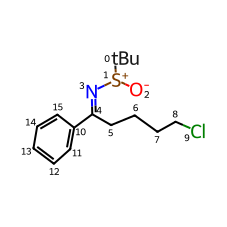 CC(C)(C)[S+]([O-])N=C(CCCCCl)c1ccccc1